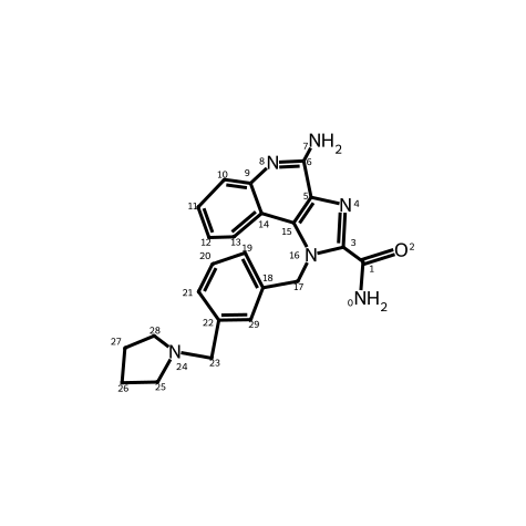 NC(=O)c1nc2c(N)nc3ccccc3c2n1Cc1cccc(CN2CCCC2)c1